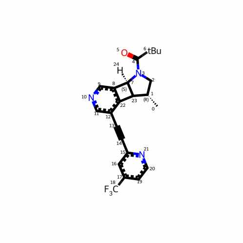 C[C@H]1CN(C(=O)C(C)(C)C)[C@@H]2c3cncc(C#Cc4cc(C(F)(F)F)ccn4)c3C21